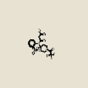 CC1(N(C(=O)CC(=O)O)c2ccccc2[N+](=O)[O-])CCN(C(=O)C(F)(F)F)CC1